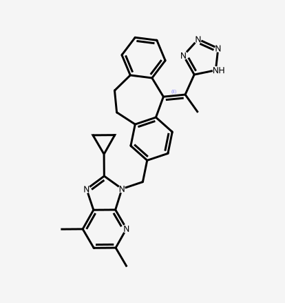 C/C(=C1/c2ccccc2CCc2cc(Cn3c(C4CC4)nc4c(C)cc(C)nc43)ccc21)c1nnn[nH]1